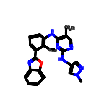 CCOC(=O)c1cnc(Nc2cnn(C)c2)nc1Nc1cccc(-c2nc3ccccc3o2)c1OC